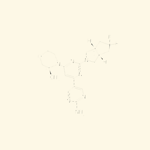 C[C@H]1COCCN1c1cc(-c2cnc(N)nc2)nc(N2C[C@@H]3CC(F)(F)C[C@@H]3C2)n1